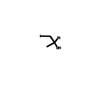 [CH2]CC(C)(O)CI